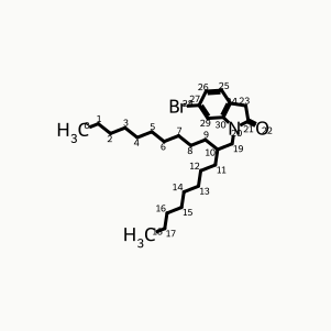 CCCCCCCCCCC(CCCCCCCC)CN1C(=O)Cc2ccc(Br)cc21